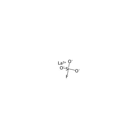 [La+3].[O-][Si]([O-])([O-])F